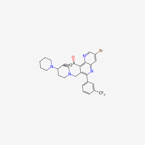 COC(=O)c1c(CN2CCC(N3CCCCC3)CC2)c(-c2cccc(C(F)(F)F)c2)nc2cc(Br)cnc12